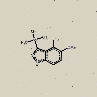 COc1ccc2[nH]n[c]([Sn]([CH3])([CH3])[CH3])c2c1C